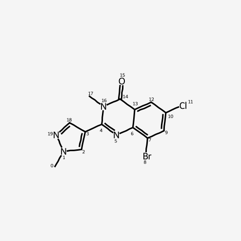 Cn1cc(-c2nc3c(Br)cc(Cl)cc3c(=O)n2C)cn1